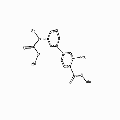 CCN(C(=O)OC(C)(C)C)c1cccc(-c2ccc(C(=O)OC(C)(C)C)c([N+](=O)[O-])c2)c1